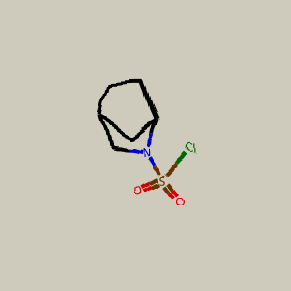 O=S(=O)(Cl)N1CC2CCC1C2